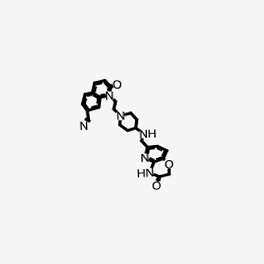 N#Cc1ccc2ccc(=O)n(CCN3CCC(NCc4ccc5c(n4)NC(=O)CO5)CC3)c2c1